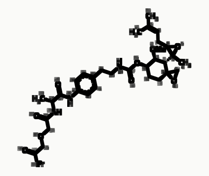 CO[C@H]1[C@H](C2(C)OC2CC=C(C)C)[C@]2(CC[C@H]1OC(=O)NCCc1ccc(NC(=O)[C@H](C)NC(=O)COCC(=O)C(C)C)cc1)CO2